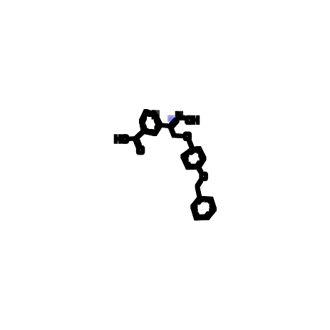 O=C(O)c1ccnc(/C(COc2ccc(OCc3ccccc3)cc2)=N/O)c1